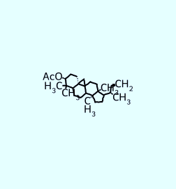 C=C[C@@H](C)C1CC[C@@]2(C)C3CCC4C(C)(C)[C@@H](OC(C)=O)CC[C@@]45CC35CC[C@]12C